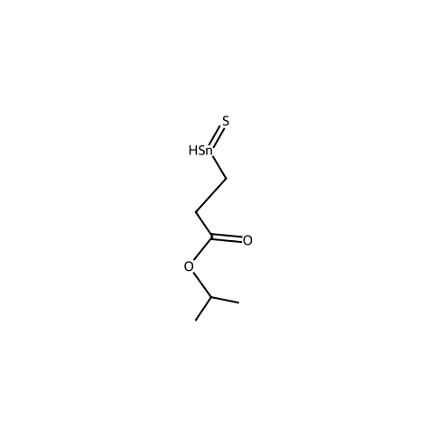 CC(C)OC(=O)C[CH2][SnH]=[S]